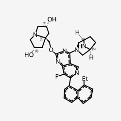 CCc1cccc2cccc(-c3ncc4c(N5C[C@H]6CC[C@@H](C5)N6)nc(OC[C@@]56C[C@H](O)CN5C[C@H](O)C6)nc4c3F)c12